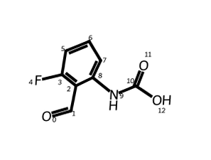 O=Cc1c(F)cccc1NC(=O)O